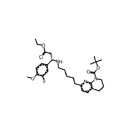 CCOC(=O)C[C@@H](NCCCCCc1ccc2c(n1)N(C(=O)OC(C)(C)C)CCC2)c1ccc(OC)c(F)c1